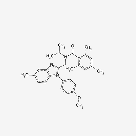 COc1ccc(-n2c(CN(C(=O)c3c(C)cc(C)cc3C)C(C)C)nc3cc(C)ccc32)cc1